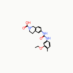 CCOc1cc(NC(=O)Nc2ccc3c(c2)CCN(C(=O)O)C3)ccc1C